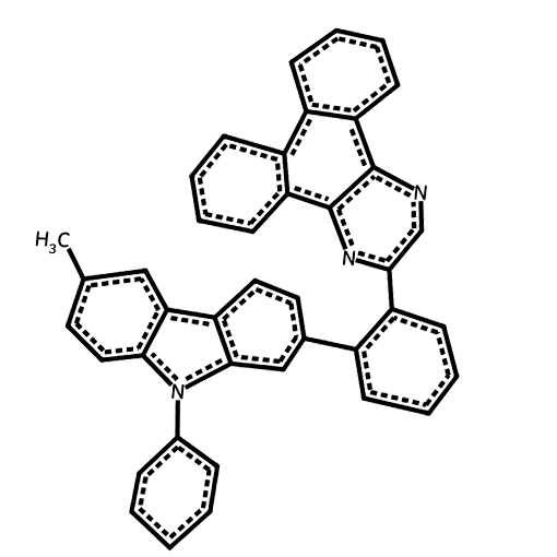 Cc1ccc2c(c1)c1ccc(-c3ccccc3-c3cnc4c5ccccc5c5ccccc5c4n3)cc1n2-c1ccccc1